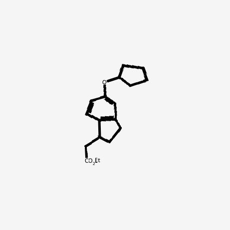 CCOC(=O)CC1CCc2cc(OC3CCCC3)ccc21